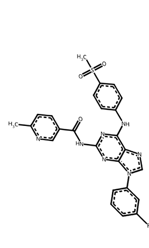 Cc1ccc(C(=O)Nc2nc(Nc3ccc(S(C)(=O)=O)cc3)c3ncn(-c4cccc(F)c4)c3n2)cn1